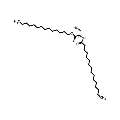 CCCCCCCCCCCCCCCC(=O)N[C@@H](CO)C(=O)OCCCCCCCCCCCCCC